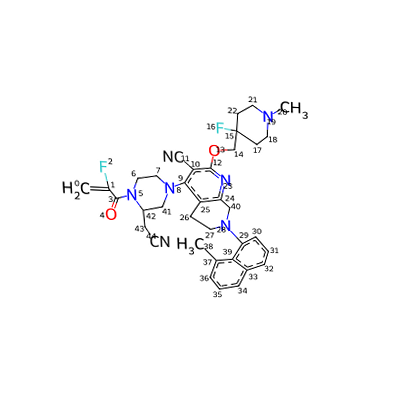 C=C(F)C(=O)N1CCN(c2c(C#N)c(OCC3(F)CCN(C)CC3)nc3c2CCN(c2cccc4cccc(C)c24)C3)CC1CC#N